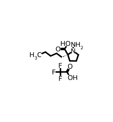 CCCCC[C@@]1(C(=O)O)CCCN1N.O=C(O)C(F)(F)F